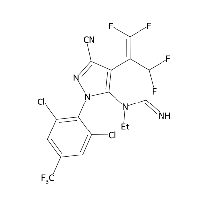 CCN(C=N)c1c(C(=C(F)F)C(F)F)c(C#N)nn1-c1c(Cl)cc(C(F)(F)F)cc1Cl